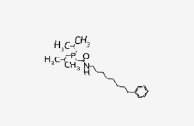 CC(C)CP(CC(=O)NCCCCCCCCc1ccccc1)CC(C)C